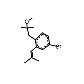 COC(C)(C)Cc1ccc(Br)cc1C=C(C)C